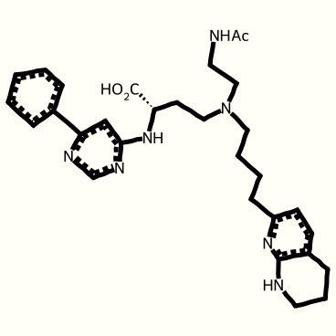 CC(=O)NCCN(CCCCc1ccc2c(n1)NCCC2)CC[C@H](Nc1cc(-c2ccccc2)ncn1)C(=O)O